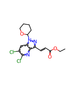 CCOC(=O)/C=C/c1nn(C2CCCCO2)c2cc(Cl)c(Cl)nc12